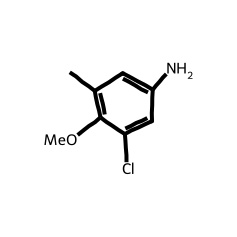 COc1c(C)cc(N)cc1Cl